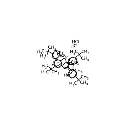 Cl.Cl.[CH2]=[Zr]([C]1=C(C)C(C(C)C)=CC1C)([c]1ccc(C(C)(C)C)cc1)([c]1ccc(C(C)(C)C)cc1)[c]1cc(C(C)(C)C)cc2c1Cc1ccc(C(C)(C)C)cc1-2